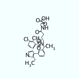 CCc1cnccc1-c1cccc(C(C)N(CCCC(=O)NCS(=O)(=O)O)S(=O)(=O)c2cccc(Cl)c2C)c1